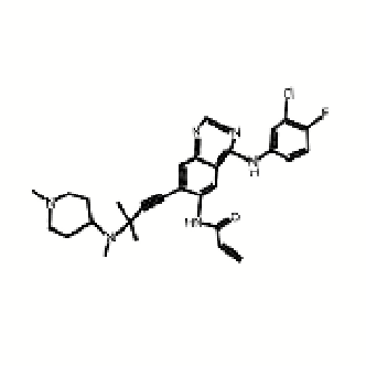 C=CC(=O)Nc1cc2c(Nc3ccc(F)c(Cl)c3)ncnc2cc1C#CC(C)(C)N(C)C1CCN(C)CC1